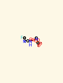 COc1ccc(S(=O)(=O)N2CCCCC2COCC(=O)NC2CCC(C(c3cccc(F)c3)N(C)C)CC2)cc1OC